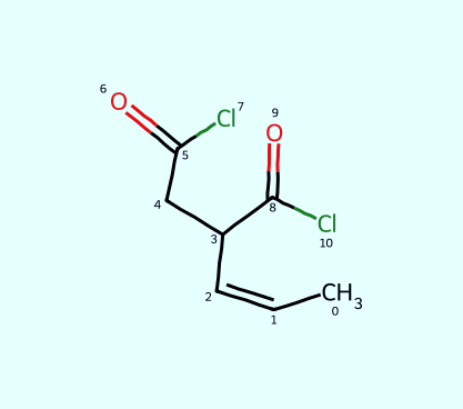 C/C=C\C(CC(=O)Cl)C(=O)Cl